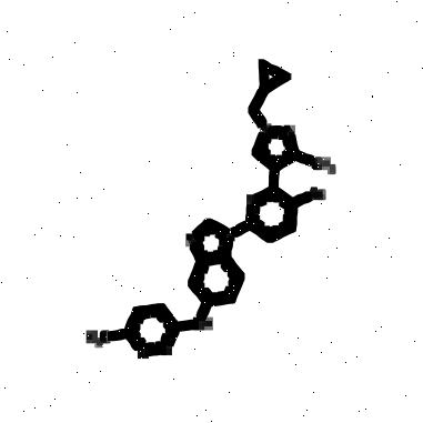 CC(=O)c1ccc(-n2cnc3cc(Nc4ccc(C)nn4)ccc32)nc1-c1cn(CC2CC2)nc1C